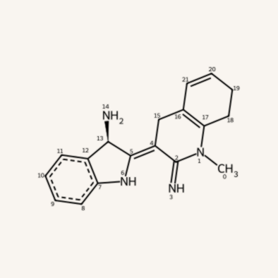 CN1C(=N)/C(=C2\Nc3ccccc3[C@H]2N)CC2=C1CCC=C2